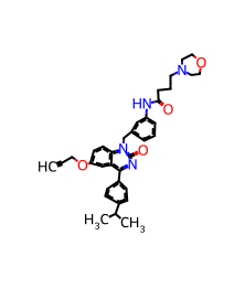 C#CCOc1ccc2c(c1)c(-c1ccc(C(C)C)cc1)nc(=O)n2Cc1cccc(NC(=O)CCCN2CCOCC2)c1